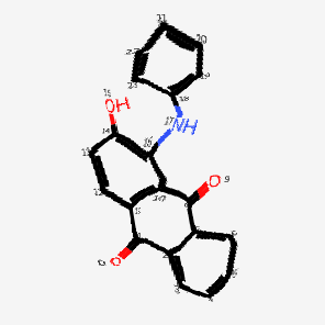 O=C1c2ccccc2C(=O)c2c1ccc(O)c2Nc1ccccc1